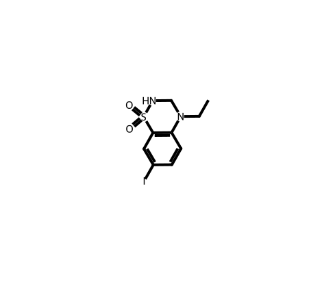 CCN1CNS(=O)(=O)c2cc(I)ccc21